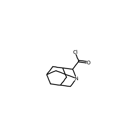 O=C(Cl)C1C2CC3CC(C2)CN1C3